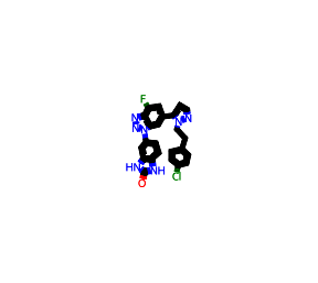 O=c1[nH]c2ccc(-n3nnc4c(F)cc(-c5ccnn5CCc5ccc(Cl)cc5)cc43)cc2[nH]1